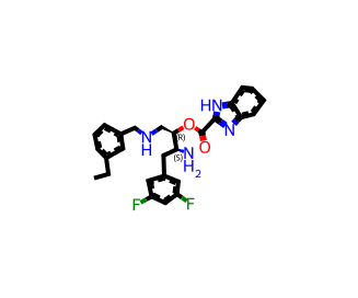 CCc1cccc(CNC[C@@H](OC(=O)c2nc3ccccc3[nH]2)[C@@H](N)Cc2cc(F)cc(F)c2)c1